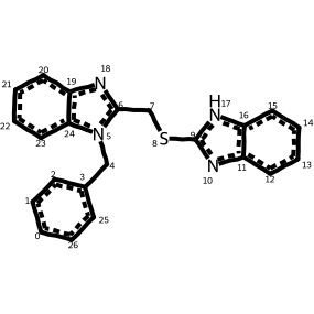 c1ccc(Cn2c(CSc3nc4ccccc4[nH]3)nc3ccccc32)cc1